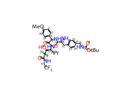 COc1ccc([C@H](NC(=O)[C@@H](N)Cc2ccc(CNC(=O)OC(C)(C)C)cc2)C(=O)N[C@@H](C(C)C)[C@@H](O)C(F)(F)C(=O)NCC(F)(F)F)cc1